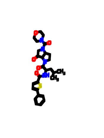 CC(C)CC(NC(=O)c1ccc(-c2ccccc2)s1)C(=O)N1CCC2C1C(=O)CN2C(=O)N1CCOCC1